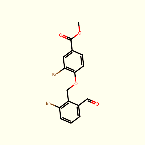 COC(=O)c1ccc(OCc2c(Br)cccc2C=O)c(Br)c1